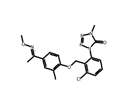 CO/N=C(\C)c1ccc(OCc2c(Cl)cccc2-n2nnn(C)c2=O)c(C)c1